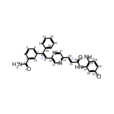 NC(=O)c1cccc(/C(=C/c2cnc(/C=C/C(=O)Nc3cc(Cl)ccc3N)cn2)c2ccccc2)c1